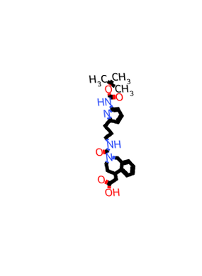 CC(C)(C)OC(=O)Nc1cccc(CCCNC(=O)N2CCC(CC(=O)O)c3ccccc3C2)n1